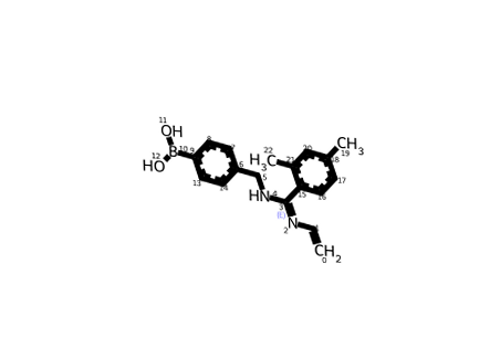 C=C/N=C(/NCc1ccc(B(O)O)cc1)c1ccc(C)cc1C